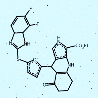 CCOC(=O)c1[nH]cc2c1NC1=C(C(=O)CCC1)C2c1ccc(SC2=NC3C=CC(F)=C(F)C3N2)o1